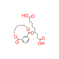 O=C(O)CCCCCCCC(=O)O.O=C1OCCCCCCOC(=O)c2cccc1c2